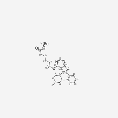 CC1CC=C(c2c(-c3ccccc3)oc3ncnc(OC(C)CCCCC(=O)OC(C)(C)C)c23)CC1